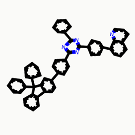 c1ccc(-c2nc(-c3ccc(-c4ccc5c(c4)C(c4ccccc4)(c4ccccc4)c4ccccc4-5)cc3)nc(-c3ccc(-c4cccc5cccnc45)cc3)n2)cc1